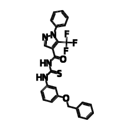 O=C(NC(=S)Nc1cccc(OCc2ccccc2)c1)c1cnn(-c2ccccc2)c1C(F)(F)F